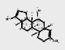 C[C@]12CCC(N)=C[C@H]1C[C@H](O)[C@@H]1[C@@H]2CC[C@]2(C)C(O)=CC[C@@H]12